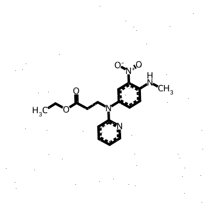 CCOC(=O)CCN(c1ccc(NC)c([N+](=O)[O-])c1)c1ccccn1